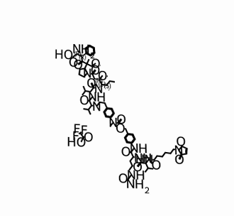 CC[C@H](C)[C@@H]([C@@H](CC(=O)N1CCCC1C(C)(COC)C(=O)[C@H](c1ccccc1)[C@@H](N)C(=O)O)OC)N(C)C(=O)C(NC(=O)C(C(C)C)N(C)CCc1ccc(N(C)C(=O)OCc2ccc(NC(=O)C(CCCNC(N)=O)NC(=O)C(NC(=O)CCCCCN3C(=O)C=CC3=O)C(C)C)cc2)cc1)C(C)C.O=C(O)C(F)(F)F